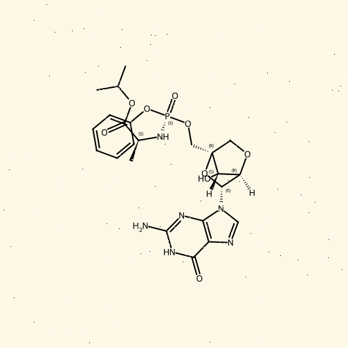 CC(C)OC(=O)[C@H](C)N[P@](=O)(OC[C@@]12CO[C@@H]([C@H](n3cnc4c(=O)[nH]c(N)nc43)O1)[C@@H]2O)Oc1ccccc1